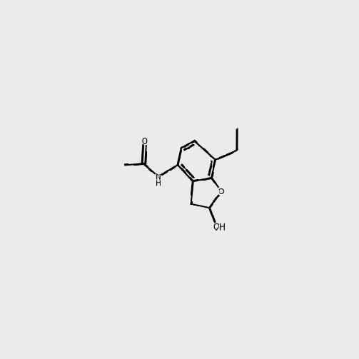 CCc1ccc(NC(C)=O)c2c1OC(O)C2